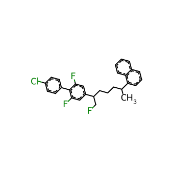 CC(CCCC(CF)c1cc(F)c(-c2ccc(Cl)cc2)c(F)c1)c1cccc2ccccc12